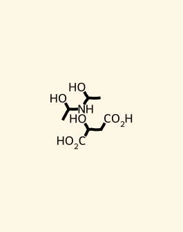 CC(O)NC(C)O.O=C(O)CC(O)C(=O)O